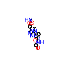 CNC(=O)OC1CC=C(c2cnc(N)c3c(-c4ccc(CC(=O)Nc5cccc(OC)c5)c5ccccc45)nc(C(C)C)n23)CC1